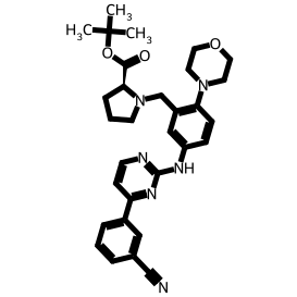 CC(C)(C)OC(=O)[C@@H]1CCCN1Cc1cc(Nc2nccc(-c3cccc(C#N)c3)n2)ccc1N1CCOCC1